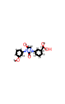 COc1cccc(N2C(=O)CN(c3cccc(C(=O)O)c3)C2=O)c1